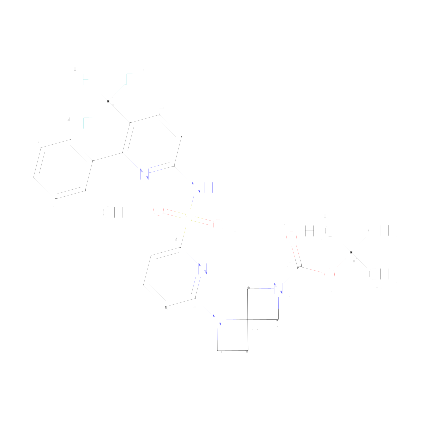 Cc1ccccc1-c1nc(NS(=O)(=O)c2cccc(N3CCC34CN(C(=O)OC(C)(C)C)C4)n2)ccc1C(F)(F)F